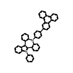 c1ccc(-n2c3c(c4ccccc42)-c2ccccc2N(c2ccc(-c4ccc5c6ccccc6c6ccccc6c5c4)cc2)c2ccccc2-3)cc1